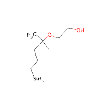 CC(CCC[SiH3])(OCCO)C(F)(F)F